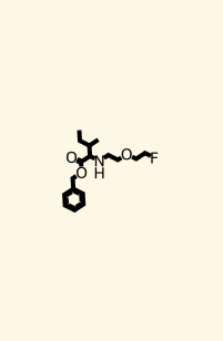 CCC(C)C(NCCOCCF)C(=O)OCc1ccccc1